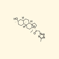 CC[C@]12CC[C@H]3[C@@H](CC[C@@H]4C[C@](C)(O)CC[C@@]43C)[C@@H]1CC[C@@H]2C(=O)Cn1nnc(C)n1